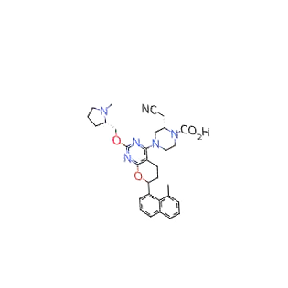 Cc1cccc2cccc(C3CCc4c(nc(OC[C@@H]5CCCN5C)nc4N4CCN(C(=O)O)[C@@H](CC#N)C4)O3)c12